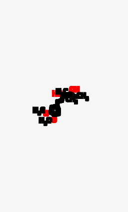 CCC(O)C(C)(C)C(O)CCc1ccc(OC)c(OC)c1